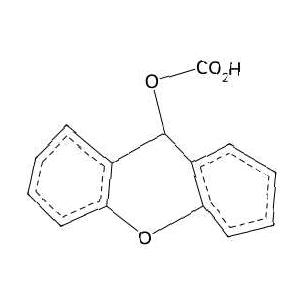 O=C(O)OC1c2ccccc2Oc2ccccc21